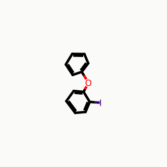 Ic1ccccc1Oc1ccccc1